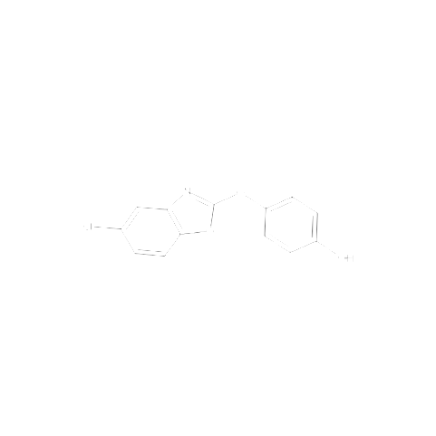 Oc1ccc(Oc2nc3cc(Cl)ccc3o2)cc1